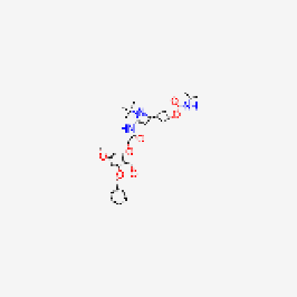 COc1cc(OCC(=O)Nc2cc(C3CC(OC(=O)NC(C)C)C3)nn2C(C)(C)C)c(C=O)c(OCc2ccccc2)c1